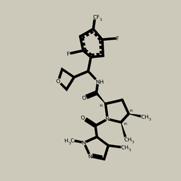 CC1C=NN(C)C1C(=O)N1[C@@H](C(=O)NC(c2cc(F)c(C(F)(F)F)cc2F)C2COC2)C[C@@H](C)[C@H]1C